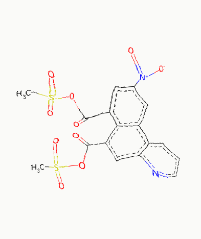 CS(=O)(=O)OC(=O)c1cc([N+](=O)[O-])cc2c1c(C(=O)OS(C)(=O)=O)cc1ncccc12